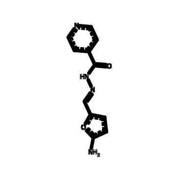 Nc1ccc(/C=N/NC(=O)c2ccncc2)o1